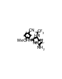 COc1ccc(C#N)cc1Nc1cc(NCC(F)(F)F)c2ncc(N)n2n1